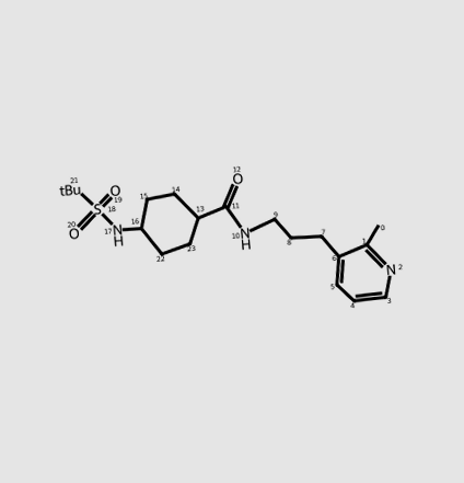 Cc1ncccc1CCCNC(=O)C1CCC(NS(=O)(=O)C(C)(C)C)CC1